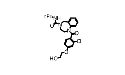 CCCNC(=O)N1CCN(C(=O)c2ccc(OCCO)cc2Cl)c2ccccc2C1